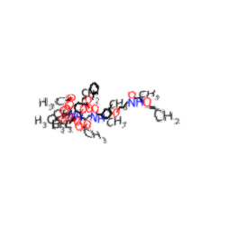 C=CCOC[C@@H](C)C(=O)NCCCOc1c(C)cc(C(=O)NC[C@@H](OC(C)=O)[C@@H](OC(C)=O)[C@@H]2O[C@@](CC=C)(C(=O)OCc3ccccc3)C[C@H](OC(C)=O)[C@H]2NC(=O)OC(C)(C)C)cc1C